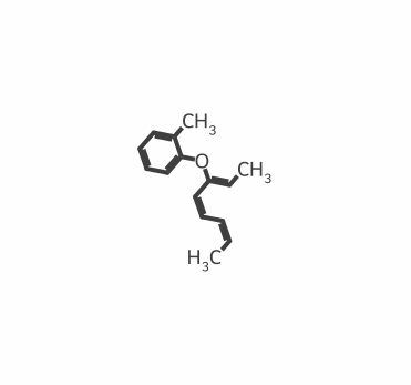 C\C=C/C=C\C(=C\C)Oc1ccccc1C